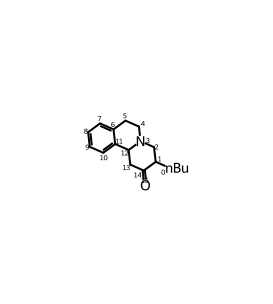 CCCCC1CN2CCc3ccccc3C2CC1=O